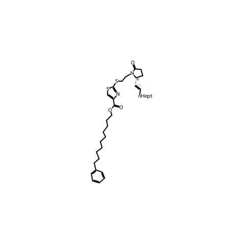 CCCCCCC/C=C/[C@H]1CCC(=O)N1CCSc1nc(C(=O)OCCCCCCCCCCc2ccccc2)cs1